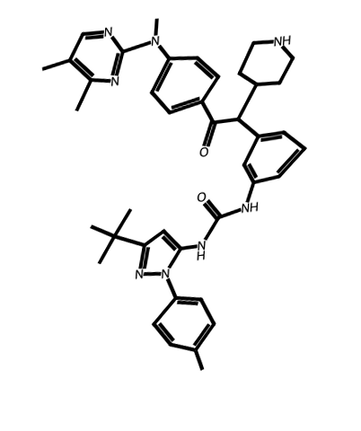 Cc1ccc(-n2nc(C(C)(C)C)cc2NC(=O)Nc2cccc(C(C(=O)c3ccc(N(C)c4ncc(C)c(C)n4)cc3)C3CCNCC3)c2)cc1